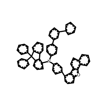 c1ccc(-c2cccc(-c3ccc(N(c4ccc(-c5cccc6oc7c8ccccc8ccc7c56)cc4)c4cccc5c4-c4ccccc4C5(c4ccccc4)c4ccccc4)cc3)c2)cc1